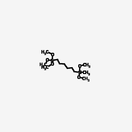 CO[Si](C)(CCCCCC[Si](OC)(OC)OC)OC